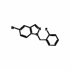 Fc1ccccc1Cn1ncc2cc(Br)ccc21